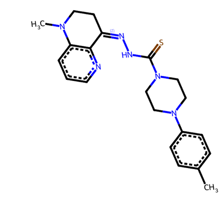 Cc1ccc(N2CCN(C(=S)N/N=C3/CCN(C)c4cccnc43)CC2)cc1